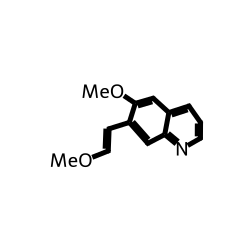 CO/C=C/c1cc2ncccc2cc1OC